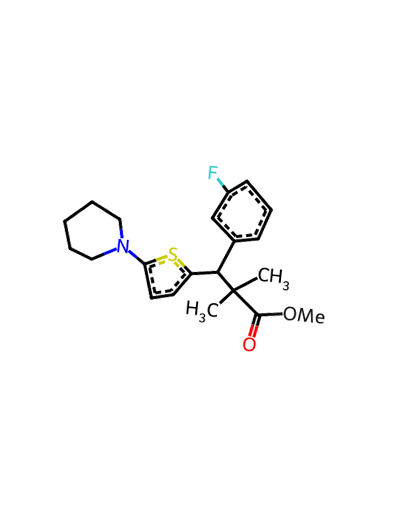 COC(=O)C(C)(C)C(c1cccc(F)c1)c1ccc(N2CCCCC2)s1